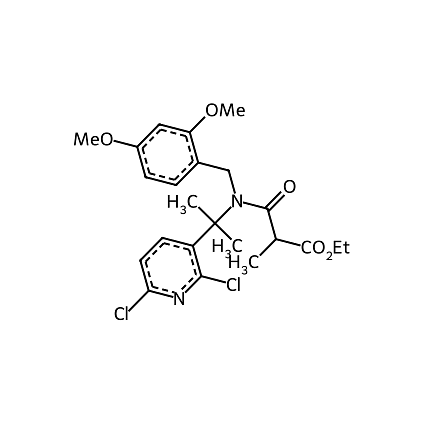 CCOC(=O)C(C)C(=O)N(Cc1ccc(OC)cc1OC)C(C)(C)c1ccc(Cl)nc1Cl